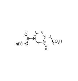 CCCCOC(=O)N1CCC(=CC(=O)O)C(F)C1